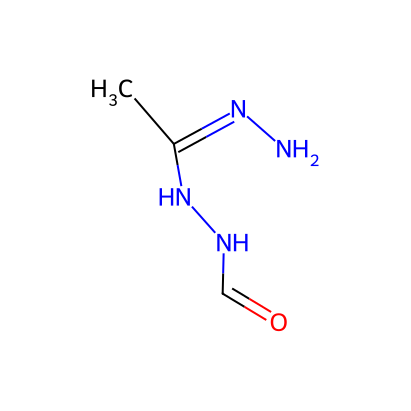 CC(=NN)NNC=O